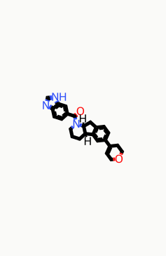 O=C(c1ccc2nc[nH]c2c1)N1CCC[C@H]2c3cc(C4=CCOCC4)ccc3C[C@H]21